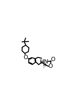 CC(C)(C)C1CCC(Oc2ccc3c(c2)CC[C@H]([C@]2(C)COC(=O)N2)C3)CC1